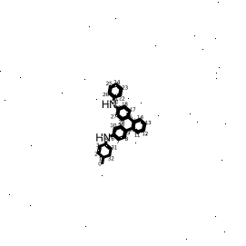 CC1C=CC(Nc2ccc(-c3ccccc3-c3ccc(Nc4ccccc4)cc3)cc2)=CC1